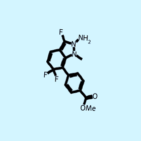 COC(=O)c1ccc(C2=C3C(=C(F)N(N)N3C)C=CC2(F)F)cc1